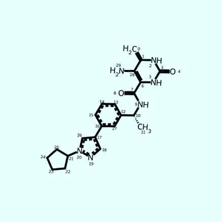 C=C1NC(=O)NC(C(=O)N[C@H](C)c2cccc(-c3cnn(C4CCCC4)c3)c2)=C1N